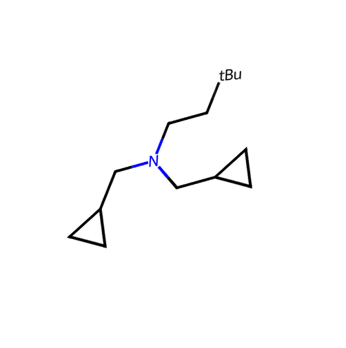 CC(C)(C)CCN(CC1CC1)CC1CC1